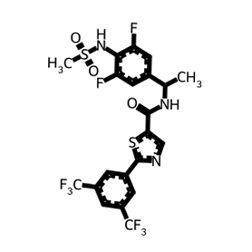 CC(NC(=O)c1cnc(-c2cc(C(F)(F)F)cc(C(F)(F)F)c2)s1)c1cc(F)c(NS(C)(=O)=O)c(F)c1